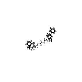 CN(CCCCCCNc1ccc(-c2ccccc2)nn1)Cc1ccccc1